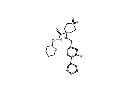 O=C(NOC1CCCCO1)C1(NCc2ccc(-c3ccccc3)c(F)c2)CCS(=O)(=O)CC1